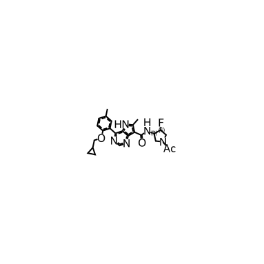 CC(=O)N1C[C@H](F)[C@H](NC(=O)c2c(C)[nH]c3c(-c4cc(C)ccc4OCC4CC4)ncnc23)C1